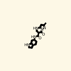 Cc1cc2[nH]cc(C(=O)Nc3ccc4cc[nH]c4c3)c(=O)n2n1